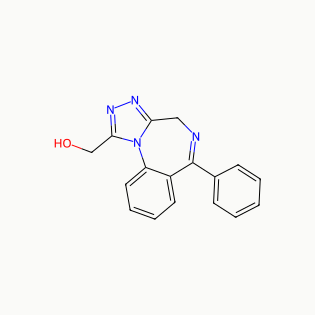 OCc1nnc2n1-c1ccccc1C(c1ccccc1)=NC2